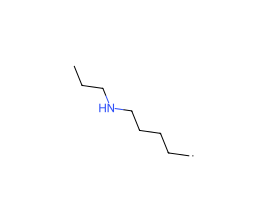 [CH2]CCCCNCCC